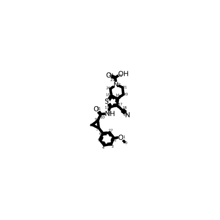 COc1cccc(C2CC2C(=O)Nc2sc3c(c2C#N)CCN(C(=O)O)C3)c1